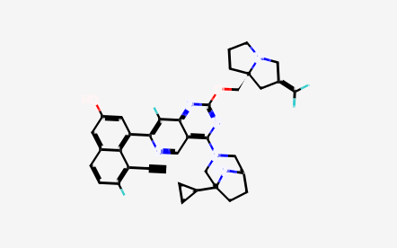 C#Cc1c(F)ccc2cc(O)cc(-c3ncc4c(N5CC6CCC(C7CC7)(C5)N6)nc(OC[C@@]56CCCN5CC(=C(F)F)C6)nc4c3F)c12